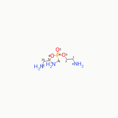 NCCOP(=O)(CN)OCCN